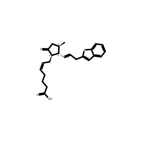 C[C@@H]1CC(=O)[C@H](C/C=C\CCCC(=O)O)[C@H]1/C=C/Cc1cc2ccccc2s1